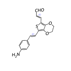 Nc1ccc(/C=C/c2sc(/C=C/C=O)c3c2OCCO3)cc1